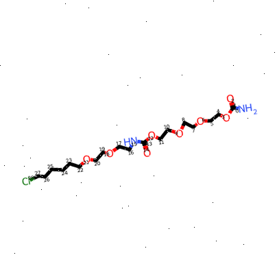 NC(=O)OCCOCCOCCOC(=O)NCCOCCOCCCCCCCl